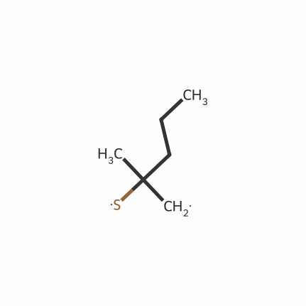 [CH2]C(C)([S])CCC